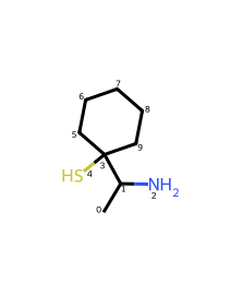 CC(N)C1(S)CCCCC1